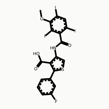 COc1c(I)cc(I)c(C(=O)Nc2csc(-c3cccc(F)c3)c2C(=O)O)c1I